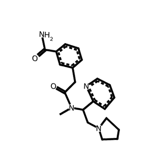 CN(C(=O)Cc1cccc(C(N)=O)c1)C(CN1CCCC1)c1ccccn1